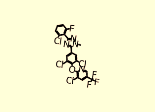 Cn1nc(-c2c(F)cccc2Cl)nc1-c1cc(Cl)c(Oc2ncc(C(F)(F)F)cc2Cl)c(Cl)c1